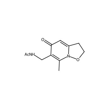 CC(=O)NCc1c(C)n2c(cc1=O)CCO2